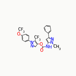 Cn1nc(-c2ccccc2)cc1NC(=O)Oc1cnn(-c2ccc(OC(F)(F)F)cc2)c1C(F)(F)F